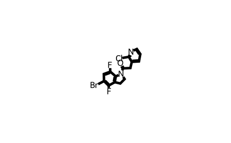 O=C(Cc1cccnc1Cl)N1CCc2c(F)c(Br)cc(F)c21